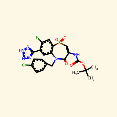 CC(C)(C)OC(=O)NC1=CS(=O)(=O)c2cc(F)c(-c3nn[nH]n3)cc2N(Cc2ccc(Cl)cc2)C1=O